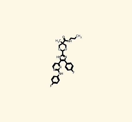 CCCNC(=O)C1(C)COC(c2nc(-c3ccc(F)cc3)c(-c3ccnc(Nc4ccc(F)cc4)n3)[nH]2)OC1